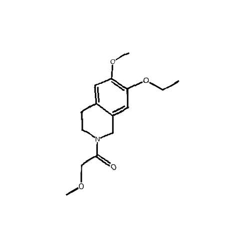 CCOc1cc2c(cc1OC)CCN(C(=O)COC)C2